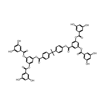 CC(C)(c1ccc(OC(=O)c2cc(OC(=O)c3cc(O)cc(O)c3)cc(OC(=O)c3cc(O)cc(O)c3)c2)cc1)c1ccc(C(=O)Oc2cc(OC(=O)c3cc(O)cc(O)c3)cc(OC(=O)c3cc(O)cc(O)c3)c2)cc1